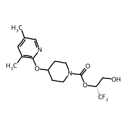 Cc1cnc(OC2CCN(C(=O)O[C@H](CO)C(F)(F)F)CC2)c(C)c1